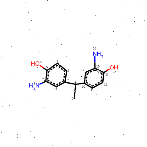 CC(c1ccc(O)c(N)c1)c1ccc(O)c(N)c1